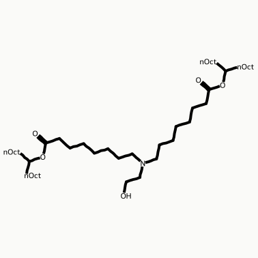 CCCCCCCCC(CCCCCCCC)OC(=O)CCCCCCCN(CCO)CCCCCCCC(=O)OC(CCCCCCCC)CCCCCCCC